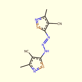 Cc1nsc(N=NNc2snc(C)c2C#N)c1C#N